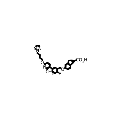 Cc1nc(OCCCCn2nccn2)ccc1-c1ccc(F)c(COc2ccc3c(c2)CC2C(C(=O)O)C32)c1